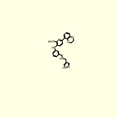 COc1nc(-c2cccc3c2OCCO3)ccc1Nc1cccc(CNCc2cn[nH]c2)c1